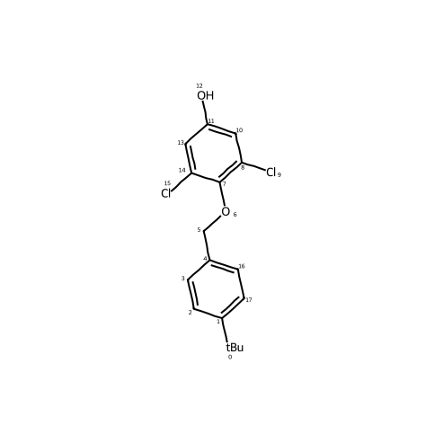 CC(C)(C)c1ccc(COc2c(Cl)cc(O)cc2Cl)cc1